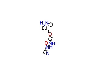 Nc1ccccc1-c1ccccc1CCOc1ccc(NC(=O)NCc2cccnc2)cc1